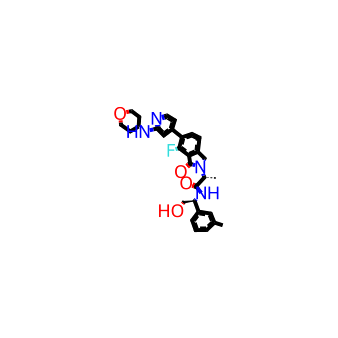 Cc1cccc([C@@H](CO)NC(=O)[C@@H](C)N2Cc3ccc(-c4ccnc(NC5CCOCC5)c4)c(F)c3C2=O)c1